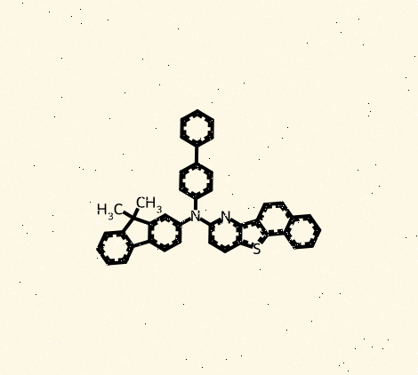 CC1(C)c2ccccc2-c2ccc(N(c3ccc(-c4ccccc4)cc3)c3ccc4sc5c6ccccc6ccc5c4n3)cc21